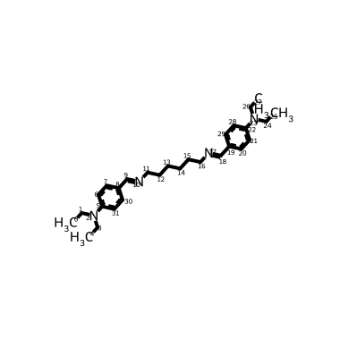 CCN(CC)c1ccc(C=NCCCCCCN=Cc2ccc(N(CC)CC)cc2)cc1